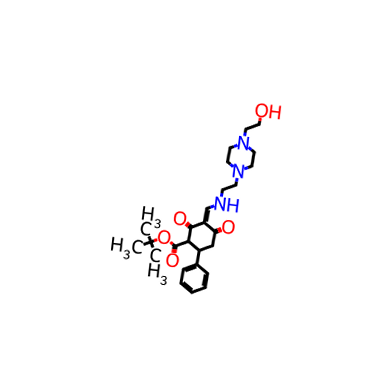 CC(C)(C)OC(=O)C1C(=O)C(=CNCCN2CCN(CCO)CC2)C(=O)CC1c1ccccc1